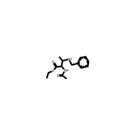 CCOC(=O)C(NC(C)=O)C(C)NCc1ccccc1